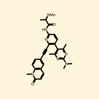 CNC(C)C(=O)Nc1ccc(-c2c(C)nc(N(C)C)nc2C)c(C#Cc2ccc3c(ccc(=O)n3C)c2)n1